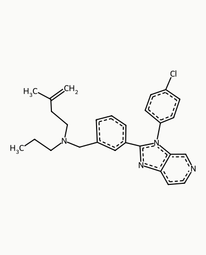 C=C(C)CCN(CCC)Cc1cccc(-c2nc3ccncc3n2-c2ccc(Cl)cc2)c1